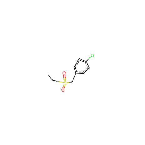 CCS(=O)(=O)[CH]c1ccc(Cl)cc1